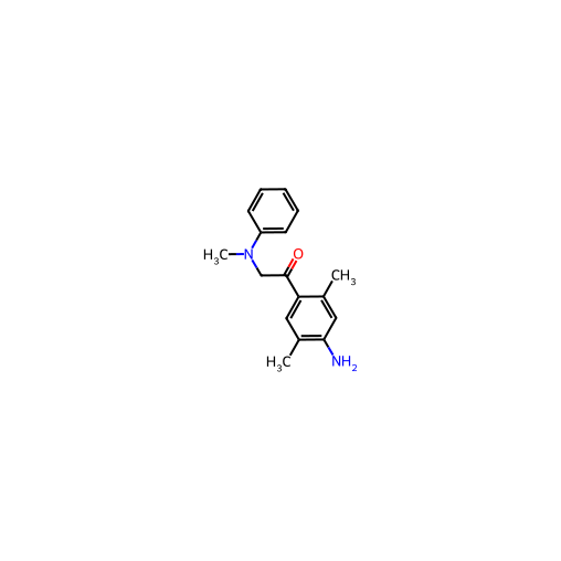 Cc1cc(C(=O)CN(C)c2ccccc2)c(C)cc1N